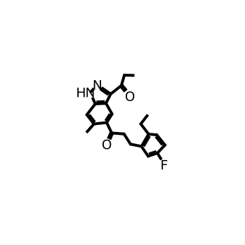 CCC(=O)c1n[nH]c2cc(C)c(C(=O)CCc3cc(F)ccc3CC)cc12